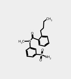 CCCCc1ccccc1C(=O)N(C)c1cccc(S(N)(=O)=O)c1